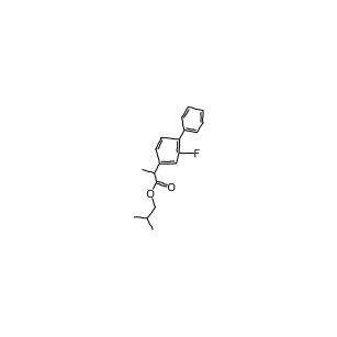 CC(C)COC(=O)C(C)c1ccc(-c2ccccc2)c(F)c1